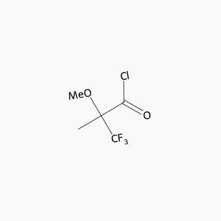 COC(C)(C(=O)Cl)C(F)(F)F